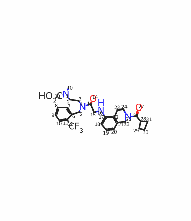 CN(CCN(Cc1ccccc1C(F)(F)F)C(=O)CNc1cccc2c1CCN(C(=O)C1CCC1)C2)C(=O)O